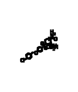 NC(=O)N1CCC(S(=O)(=O)c2ccc(OCc3ccc(Cl)cc3)cc2)C(O)(C(=O)O)C1